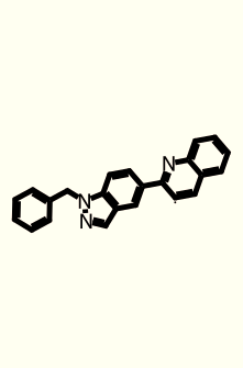 [c]1cc2ccccc2nc1-c1ccc2c(cnn2Cc2ccccc2)c1